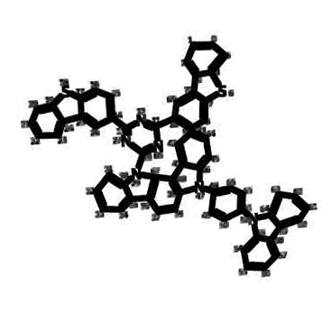 c1ccc2c(c1)sc1ccc(-c3nc(-c4ccc5sc6ccccc6c5c4)nc(-n4c5ccccc5c5ccc6c(c7ccccc7n6-c6ccc(-n7c8ccccc8c8ccccc87)cc6)c54)n3)cc12